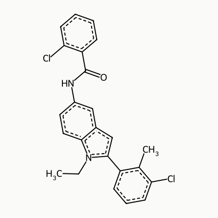 CCn1c(-c2cccc(Cl)c2C)cc2cc(NC(=O)c3ccccc3Cl)ccc21